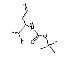 C=CCC(NC(=O)OC(C)(C)C)C(F)I